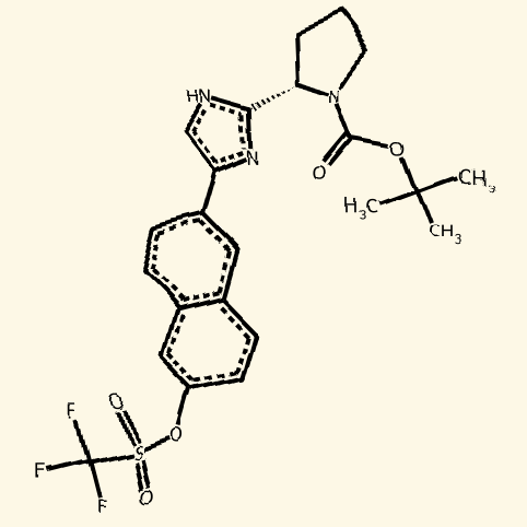 CC(C)(C)OC(=O)N1CCC[C@H]1c1nc(-c2ccc3cc(OS(=O)(=O)C(F)(F)F)ccc3c2)c[nH]1